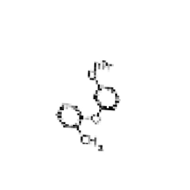 CCCOc1cccc(Oc2ccccc2C)c1